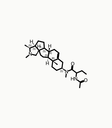 CCC(NC(C)=O)C(=O)N(C)[C@H]1CC[C@@]2(C)C(=CC[C@H]3[C@@H]4CC[C@@H]5[C@H](C)N(C)C[C@@]54CC[C@@H]32)C1